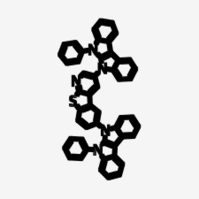 c1ccc(-n2c3ccccc3c3c4ccccc4n(-c4ccc5sc6ncc(-n7c8ccccc8c8c9ccccc9n(-c9ccccc9)c87)cc6c5c4)c32)cc1